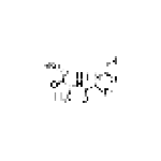 CCCCOC(=O)C(C)NC(=O)C(NC(=O)CI)C(C)C